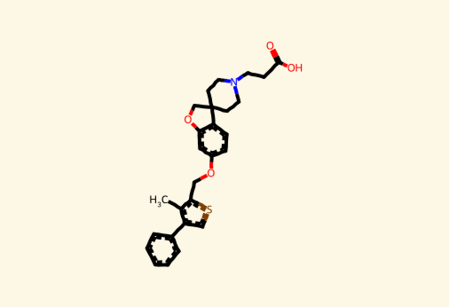 Cc1c(-c2ccccc2)csc1COc1ccc2c(c1)OCC21CCN(CCC(=O)O)CC1